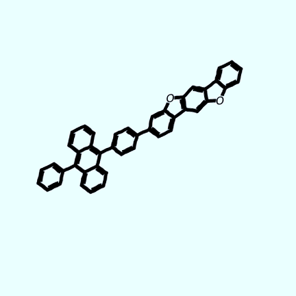 c1ccc(-c2c3ccccc3c(-c3ccc(-c4ccc5c(c4)oc4cc6c(cc45)oc4ccccc46)cc3)c3ccccc23)cc1